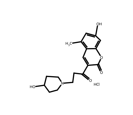 Cc1cc(O)cc2oc(=O)c(C(=O)CCN3CCC(O)CC3)cc12.Cl